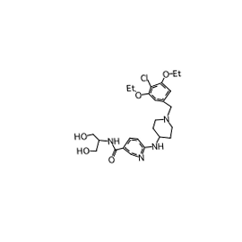 CCOc1cc(CN2CCC(Nc3ccc(C(=O)NC(CO)CO)cn3)CC2)cc(OCC)c1Cl